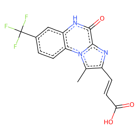 Cc1c(C=CC(=O)O)nc2c(=O)[nH]c3cc(C(F)(F)F)ccc3n12